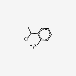 CC(Cl)c1ccccc1[SiH3]